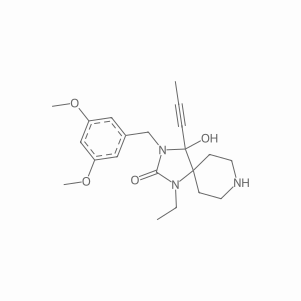 CC#CC1(O)N(Cc2cc(OC)cc(OC)c2)C(=O)N(CC)C12CCNCC2